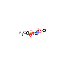 Cc1ccc(S(=O)(=O)OCC2CCCN(C(=O)OCc3ccccc3)C2)cc1